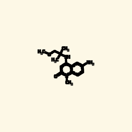 COCC(C)(C)Nc1cc(=O)n(C)c2ccc(N)cc12